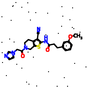 COc1cccc(CCC(=O)Nc2sc3c(c2C#N)CCN(C(=O)Cn2ccnc2)C3)c1